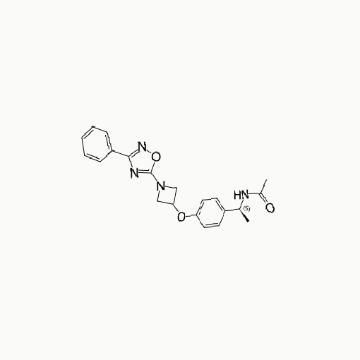 CC(=O)N[C@@H](C)c1ccc(OC2CN(c3nc(-c4ccccc4)no3)C2)cc1